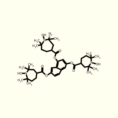 CC1(C)CCC(C(=O)Oc2cc(OC(=O)C3CCC(C)(C)N(O)C(C)(C)C3)c3cc(OC(=O)C4CCC(C)(C)N(O)C(C)(C)C4)ccc3c2)CC(C)(C)N1O